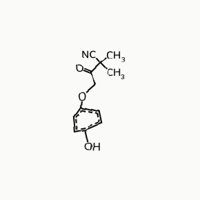 CC(C)(C#N)C(=O)COc1ccc(O)cc1